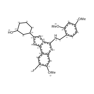 COc1ccc(CNc2nc3cc(OC)c(F)cc3c3nc(C4CCCC(O)C4)nn23)c(OC)c1